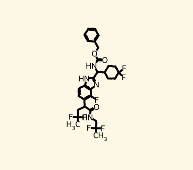 CC(F)(F)CNC(=O)C(CC(C)(F)F)c1ccc2[nH]c(C(NC(=O)OCc3ccccc3)C3CCC(F)(F)CC3)nc2c1F